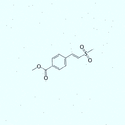 COC(=O)c1ccc(C=CS(C)(=O)=O)cc1